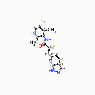 Cc1ncc(F)c(C)c1NC(=O)/C(F)=C/c1ccc2cn[nH]c2n1